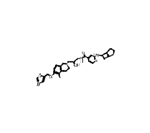 Cc1c(OCc2cnco2)ccc2c1CCN(CC(O)CNC(=O)c1ccnc(NC3CC4CCCC43)c1)C2